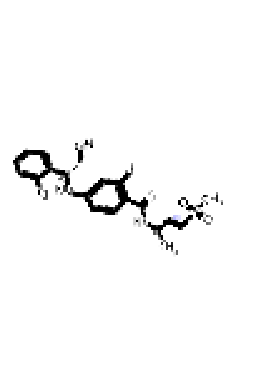 C[C@H](/C=C/S(C)(=O)=O)NC(=O)c1ccc(N[C@@H](CO)c2ccccc2Cl)cc1F